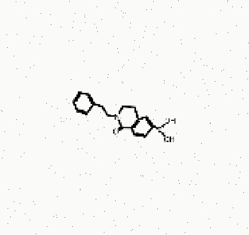 O=C1c2ccc(B(O)O)cc2CCN1CCc1ccccc1